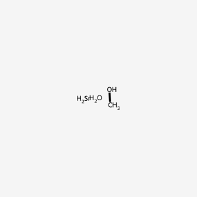 CO.O.[SrH2]